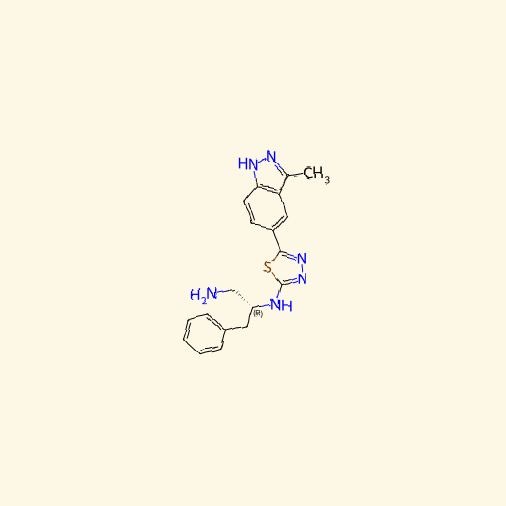 Cc1n[nH]c2ccc(-c3nnc(N[C@@H](CN)Cc4ccccc4)s3)cc12